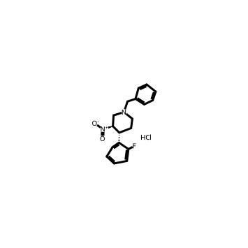 Cl.O=[N+]([O-])[C@H]1CN(Cc2ccccc2)CC[C@@H]1c1ccccc1F